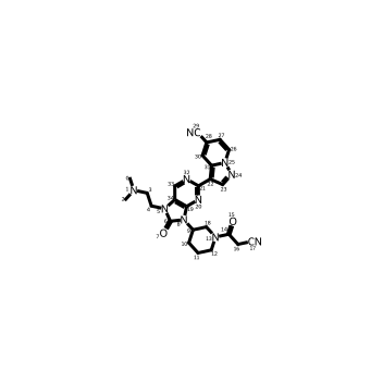 CN(C)CCn1c(=O)n(C2CCCN(C(=O)CC#N)C2)c2nc(-c3cnn4ccc(C#N)cc34)ncc21